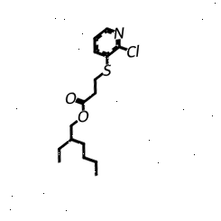 CCCCC(CC)COC(=O)CCSc1cccnc1Cl